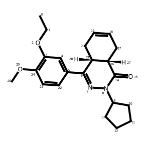 CCOc1cc(C2=NN(C3CCCC3)C(=O)[C@H]3CC=CC[C@@H]23)ccc1OC